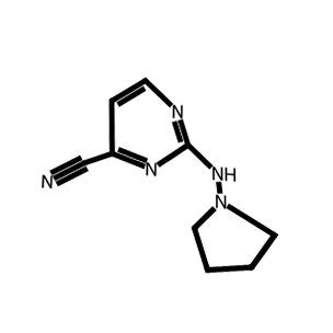 N#Cc1ccnc(NN2CCCC2)n1